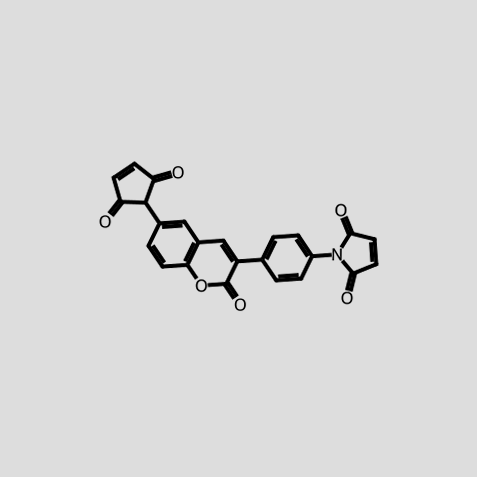 O=C1C=CC(=O)C1c1ccc2oc(=O)c(-c3ccc(N4C(=O)C=CC4=O)cc3)cc2c1